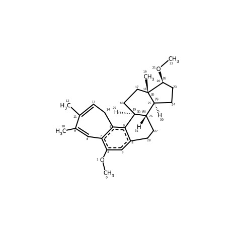 COc1cc2c(c3c1C=C(C)C(C)=CC3)[C@H]1CC[C@]3(C)[C@@H](OC)CC[C@H]3[C@@H]1CC2